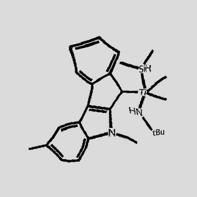 Cc1ccc2c(c1)c1c(n2C)[CH]([Ti]([CH3])([CH3])([NH]C(C)(C)C)[SiH](C)C)c2ccccc2-1